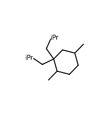 CC(C)CC1(CC(C)C)CC(C)CCC1C